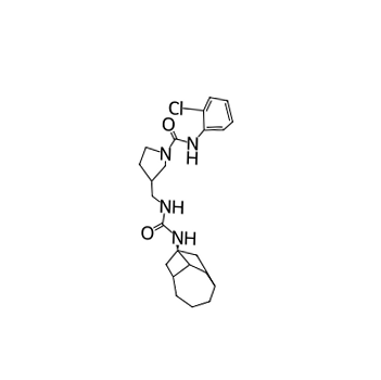 O=C(NCC1CCN(C(=O)Nc2ccccc2Cl)C1)N[C@]12CC3CCCC(C1)C2C3